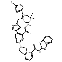 CC1(C)CCC(Cn2cc(-c3ccc(N4CCc5cccc(C(=O)Nc6nc7ccccc7s6)c5C4)nc3C(=O)OC(C)(C)C)cn2)=C(c2ccc(Cl)cc2)C1